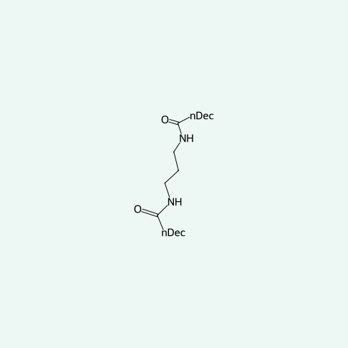 CCCCCCCCCCC(=O)NCCCNC(=O)CCCCCCCCCC